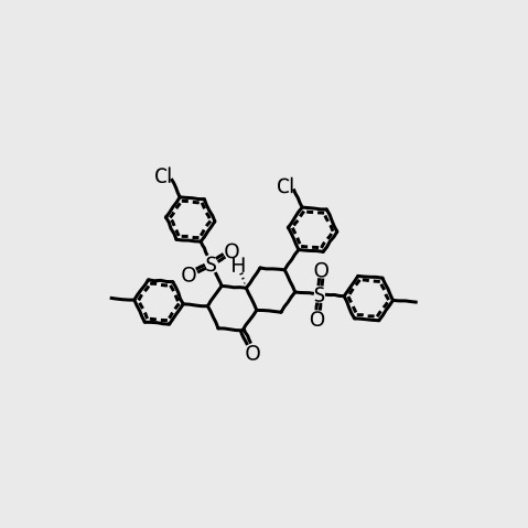 Cc1ccc(C2CC(=O)C3CC(S(=O)(=O)c4ccc(C)cc4)C(c4cccc(Cl)c4)C[C@@H]3C2S(=O)(=O)c2ccc(Cl)cc2)cc1